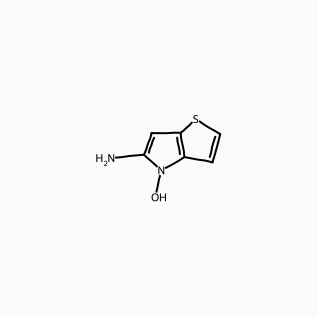 Nc1cc2sccc2n1O